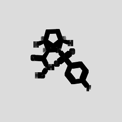 O=C(NO)[C@H]1[C@@H]2CC[C@@H](C2)N1S(=O)(=O)c1ccc(F)cc1